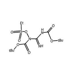 CCS(=O)(=O)ON(C(=N)NC(=O)OC(C)(C)C)C(=O)OC(C)(C)C